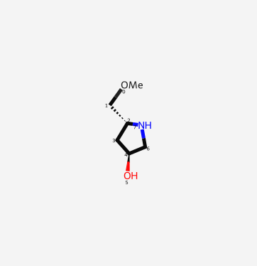 COC[C@H]1C[C@H](O)CN1